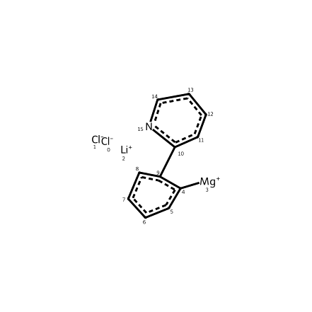 [Cl-].[Cl-].[Li+].[Mg+][c]1ccccc1-c1ccccn1